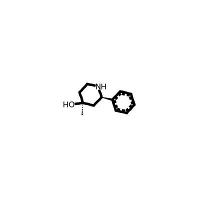 C[C@]1(O)CCN[C@@H](c2ccccc2)C1